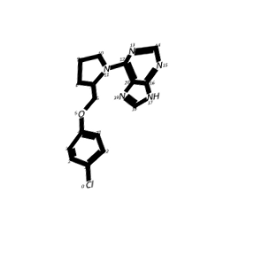 Clc1ccc(OCC2CCCN2c2ncnc3[nH]cnc23)cc1